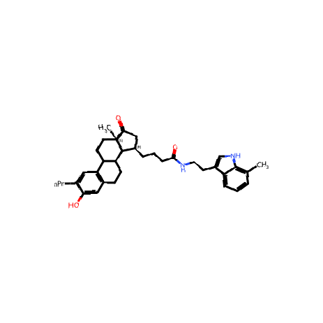 CCCc1cc2c(cc1O)CCC1C2CC[C@]2(C)C(=O)C[C@@H](CCCC(=O)NCCc3c[nH]c4c(C)cccc34)C12